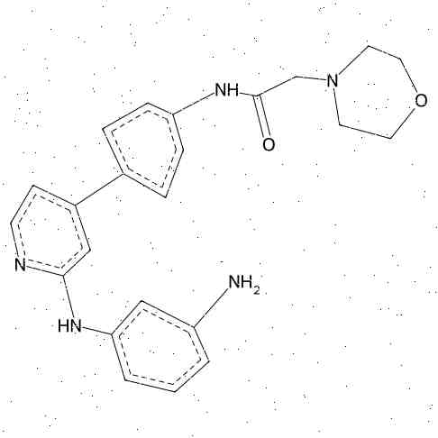 Nc1cccc(Nc2cc(-c3ccc(NC(=O)CN4CCOCC4)cc3)ccn2)c1